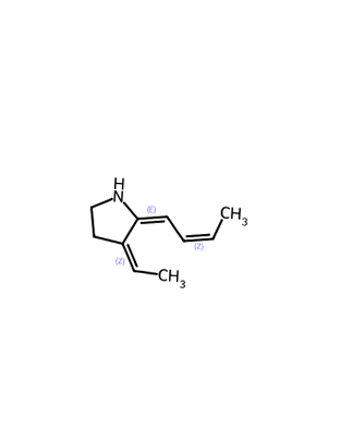 C\C=C/C=C1/NCC/C1=C/C